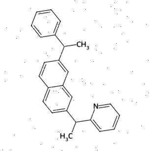 CC(c1ccccc1)c1ccc2ccc(C(C)c3ccccn3)cc2c1